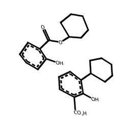 O=C(O)c1cccc(C2CCCCC2)c1O.O=C(OC1CCCCC1)c1ccccc1O